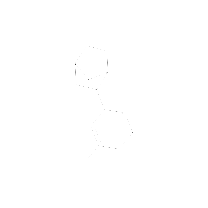 CC1=CC(C2CC3CCC2C3)OCC1